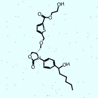 CCCCCC(O)c1ccc(N2C(=O)OC[C@@H]2COCc2ccc(C(=O)OCCO)s2)cc1